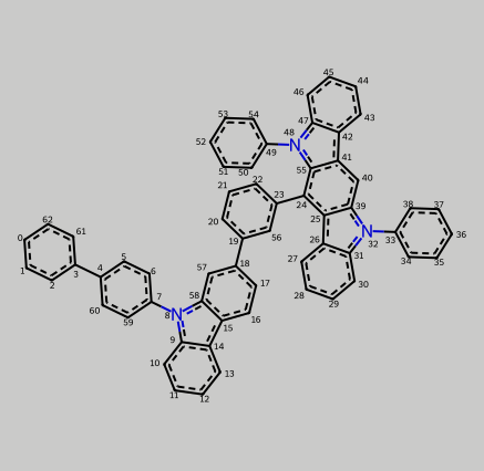 c1ccc(-c2ccc(-n3c4ccccc4c4ccc(-c5cccc(-c6c7c8ccccc8n(-c8ccccc8)c7cc7c8ccccc8n(-c8ccccc8)c67)c5)cc43)cc2)cc1